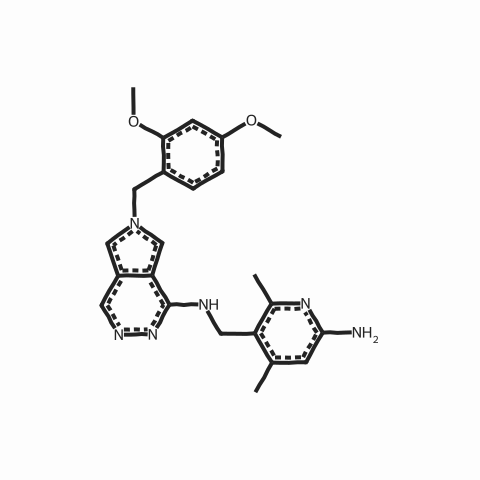 COc1ccc(Cn2cc3cnnc(NCc4c(C)cc(N)nc4C)c3c2)c(OC)c1